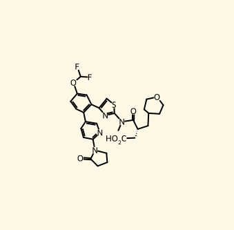 CN(C(=O)[C@@H](CC(=O)O)CC1CCOCC1)c1nc(-c2cc(OC(F)F)ccc2-c2ccc(N3CCCC3=O)nc2)cs1